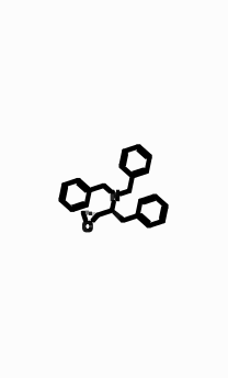 c1ccc(C[C@@H]([C@H]2CO2)N(Cc2ccccc2)Cc2ccccc2)cc1